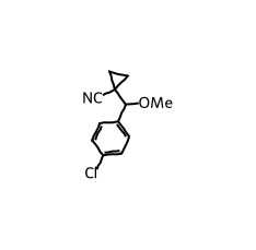 COC(c1ccc(Cl)cc1)C1(C#N)CC1